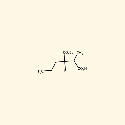 CCOC(=O)C(CC)(CCC(F)(F)F)C(C)C(=O)O